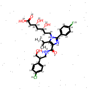 CC(C)c1c(C(=O)NCC(CO)c2ccc(Cl)cc2)nc(-c2ccc(F)cc2)n1CC[C@@H](O)C[C@@H](O)CC(=O)O